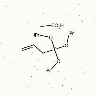 C=C[CH2][Ti]([O]C(C)C)([O]C(C)C)[O]C(C)C.CC(=O)O